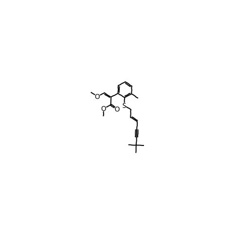 COC=C(C(=O)OC)c1cccc(C)c1SCC=CC#CC(C)(C)C